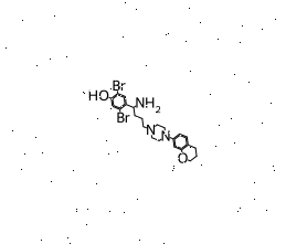 NC(CCCN1CCN(c2ccc3c(c2)OCCC3)CC1)c1cc(Br)c(O)cc1Br